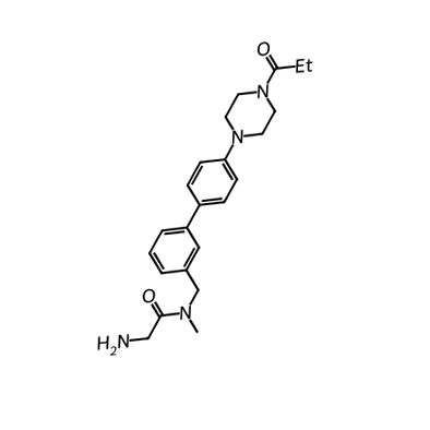 CCC(=O)N1CCN(c2ccc(-c3cccc(CN(C)C(=O)CN)c3)cc2)CC1